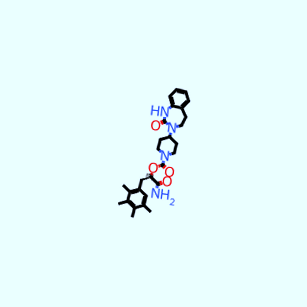 Cc1cc(C[C@@H](OC(=O)N2CCC(N3CCc4ccccc4NC3=O)CC2)C(N)=O)c(C)c(C)c1C